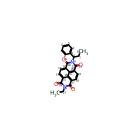 CCC(c1ccccc1)N1C(=O)c2ccc3c4c(ccc(c24)C1=O)C(=O)N(CC)C3=O